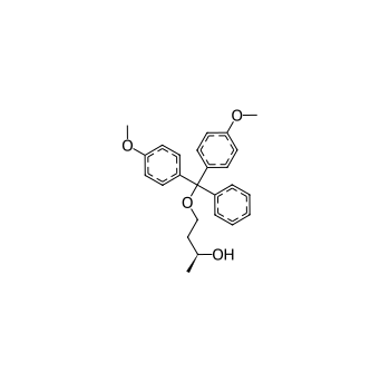 COc1ccc(C(OCC[C@H](C)O)(c2ccccc2)c2ccc(OC)cc2)cc1